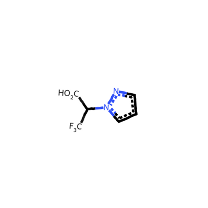 O=C(O)C(n1cccn1)C(F)(F)F